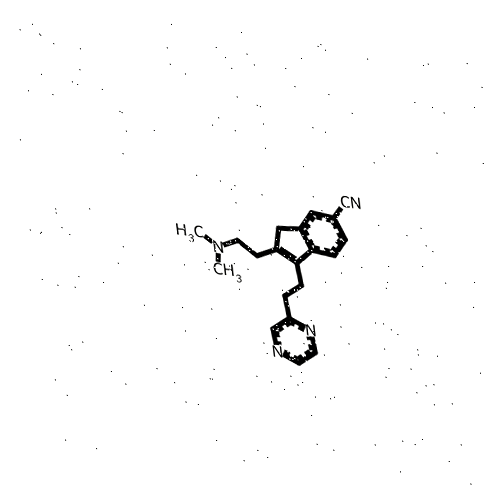 CN(C)CCC1=C(CCc2cnccn2)c2ccc(C#N)cc2C1